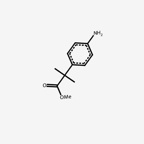 COC(=O)C(C)(C)c1ccc(N)cc1